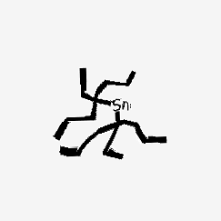 C=CC[C](C=C)(CC=C)[Sn][C](C=C)(CC=C)CC=C